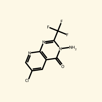 Nn1c(C(F)(F)F)nc2ncc(Cl)cc2c1=O